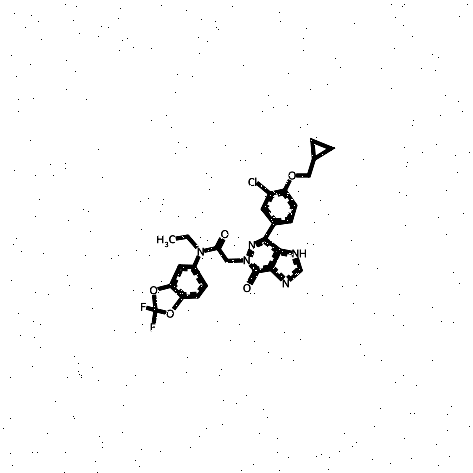 CCN(C(=O)Cn1nc(-c2ccc(OCC3CC3)c(Cl)c2)c2[nH]cnc2c1=O)c1ccc2c(c1)OC(F)(F)O2